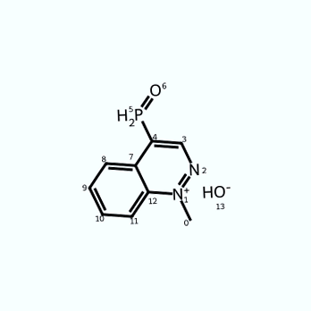 C[n+]1ncc([PH2]=O)c2ccccc21.[OH-]